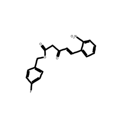 O=C(C=Cc1ccccc1[N+](=O)[O-])CC(=O)OCc1ccc(F)cc1